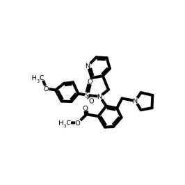 COC(=O)c1cccc(CN2CCCC2)c1N(Cc1cccnc1)S(=O)(=O)c1ccc(OC)cc1